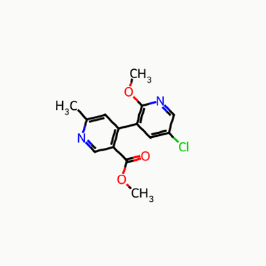 COC(=O)c1cnc(C)cc1-c1cc(Cl)cnc1OC